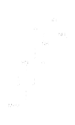 COCc1ccc(NC(=O)CNC(=O)[C@@H](N)C(C)C)cc1